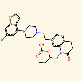 CCC(CN1C(=O)CCc2ccc(CCN3CCN(c4cc(F)cc5sccc45)CC3)cc21)OC(=O)O